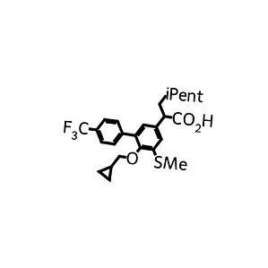 CCCC(C)CC(C(=O)O)c1cc(SC)c(OCC2CC2)c(-c2ccc(C(F)(F)F)cc2)c1